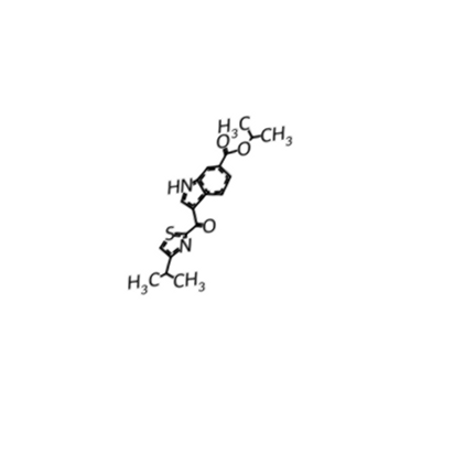 CC(C)OC(=O)c1ccc2c(C(=O)c3nc(C(C)C)cs3)c[nH]c2c1